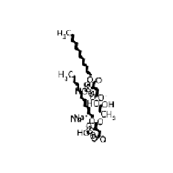 CCC(O)O.CCCCCCCCCCCCOC(=O)C(CC(=O)[O-])S(=O)(=O)O.CCCCCCCCCCCCOC(=O)C(CC(=O)[O-])S(=O)(=O)O.[Na+].[Na+]